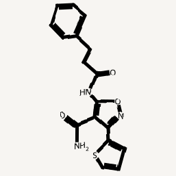 NC(=O)c1c(-c2cccs2)noc1NC(=O)CCc1ccccc1